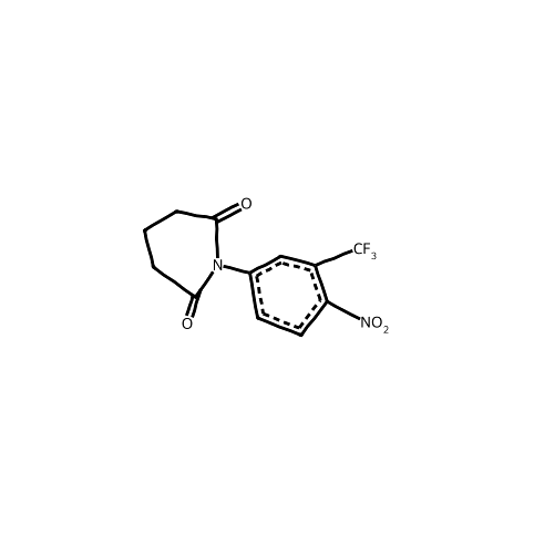 O=C1CCCC(=O)N1c1ccc([N+](=O)[O-])c(C(F)(F)F)c1